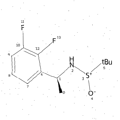 C[C@H](N[S+]([O-])C(C)(C)C)c1cccc(F)c1F